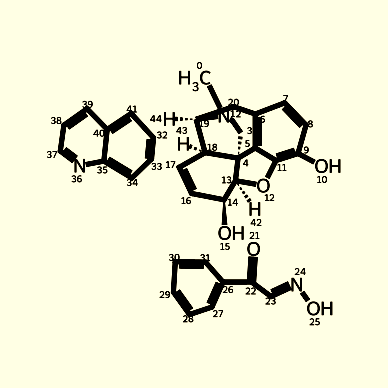 CN1CC[C@]23c4c5ccc(O)c4O[C@H]2[C@@H](O)C=C[C@H]3[C@H]1C5.O=C(C=NO)c1ccccc1.c1ccc2ncccc2c1